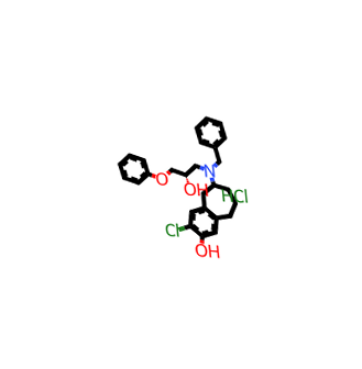 Cl.Oc1cc2c(cc1Cl)CC(N(Cc1ccccc1)C[C@H](O)COc1ccccc1)CCC2